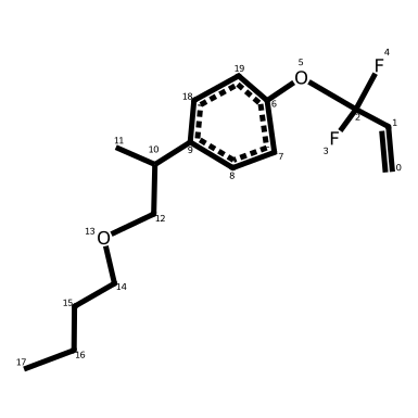 C=CC(F)(F)Oc1ccc(C(C)COCCCC)cc1